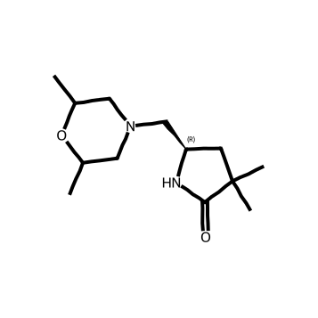 CC1CN(C[C@H]2CC(C)(C)C(=O)N2)CC(C)O1